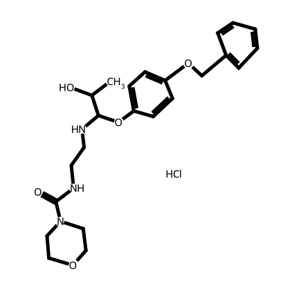 CC(O)C(NCCNC(=O)N1CCOCC1)Oc1ccc(OCc2ccccc2)cc1.Cl